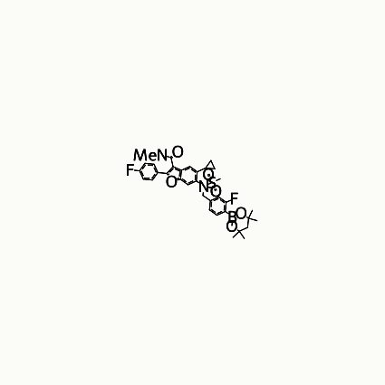 CNC(=O)c1c(-c2ccc(F)cc2)oc2cc(N(Cc3ccc(B4OC(C)(C)CC(C)(C)O4)c(F)c3)S(C)(=O)=O)c(C3CC3)cc12